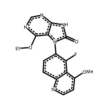 CCOc1ncnc2[nH]c(=O)n(-c3ccc4nccc(OC)c4c3F)c12